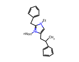 CCCCCCCCC[n+]1c(CC(C)c2ccccc2)cn(CC)c1Cc1ccccc1